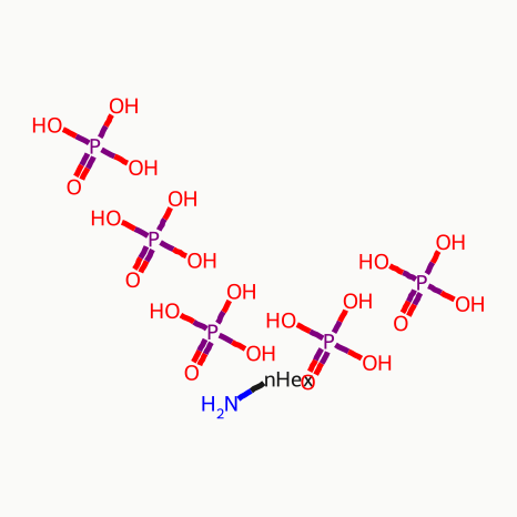 CCCCCCN.O=P(O)(O)O.O=P(O)(O)O.O=P(O)(O)O.O=P(O)(O)O.O=P(O)(O)O